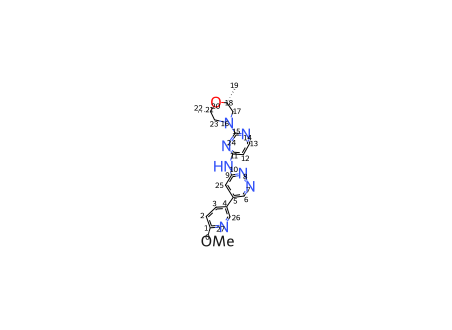 COc1ccc(-c2cnnc(Nc3ccnc(N4C[C@@H](C)O[C@@H](C)C4)n3)c2)cn1